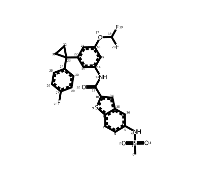 CS(=O)(=O)Nc1ccc2sc(C(=O)Nc3cc(OC(F)F)cc(C4(c5ccc(F)cc5)CC4)c3)cc2c1